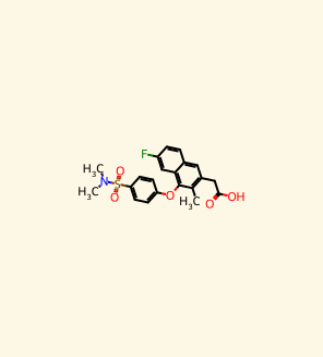 Cc1c(CC(=O)O)cc2ccc(F)cc2c1Oc1ccc(S(=O)(=O)N(C)C)cc1